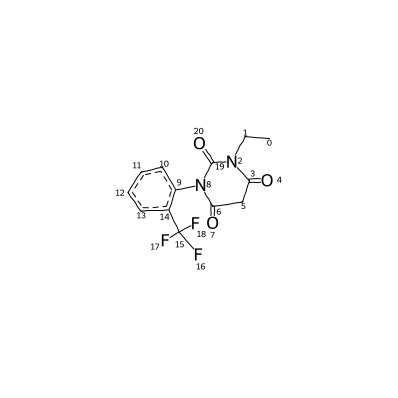 CCN1C(=O)CC(=O)N(c2ccccc2C(F)(F)F)C1=O